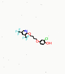 Oc1ccc(OCCCCOc2ncc(C(F)(F)F)cc2C(F)(F)F)cc1Cl